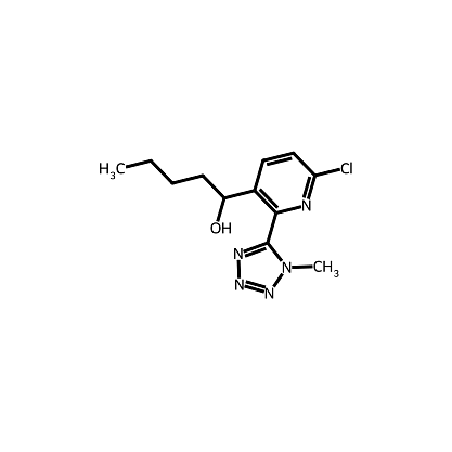 CCCCC(O)c1ccc(Cl)nc1-c1nnnn1C